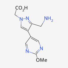 COc1ncc(-c2cn(CC(=O)O)nc2CN)cn1